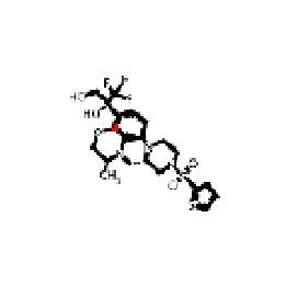 C[C@H]1COCCN1C[C@H]1CN(S(=O)(=O)c2cccs2)CCN1c1ccc([C@](O)(CO)C(F)(F)F)cc1